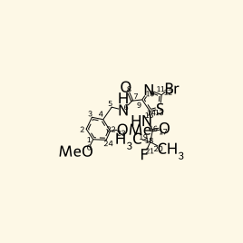 COc1ccc(CNC(=O)c2nc(Br)sc2NC(=O)C(C)(C)F)c(OC)c1